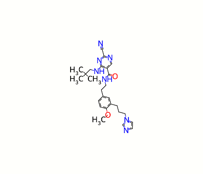 COc1ccc(CCNC(=O)c2cnc(C#N)nc2NCC(C)(C)C)cc1CCCn1ccnc1